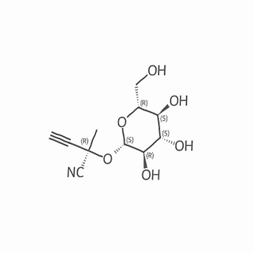 C#C[C@](C)(C#N)O[C@@H]1O[C@H](CO)[C@@H](O)[C@H](O)[C@H]1O